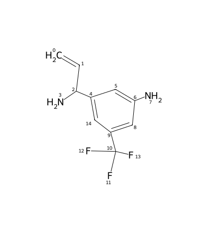 C=CC(N)c1cc(N)cc(C(F)(F)F)c1